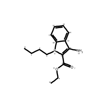 CCCCn1c(C(=O)OCC)c(N)c2ccccc21